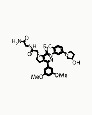 COc1cc(OC)cc(-c2nn(-c3cc(N4CC[C@H](O)C4)ccc3C(F)(F)F)c(=O)c3c2CCN3CC(=O)NCC(N)=O)c1